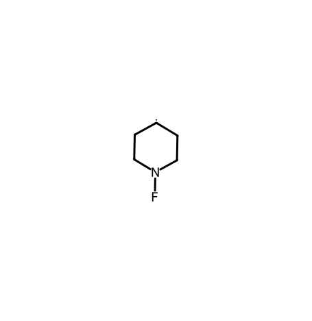 FN1CC[CH]CC1